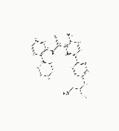 CC(CN)Oc1ccc(-c2cnc(N)c(C(=O)Nc3cnccc3N3CCOCC3)n2)cc1